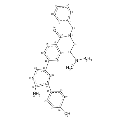 CN(C)CCN(Cc1ccccc1)C(=O)c1ccc(-c2cnc(N)c(-c3ccc(O)cc3)n2)cc1